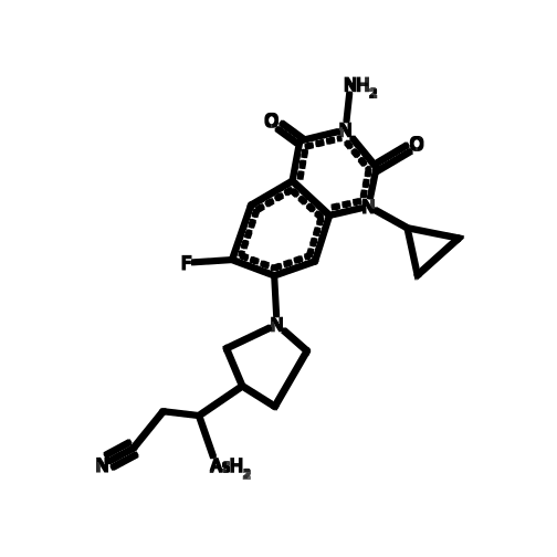 N#CCC([AsH2])C1CCN(c2cc3c(cc2F)c(=O)n(N)c(=O)n3C2CC2)C1